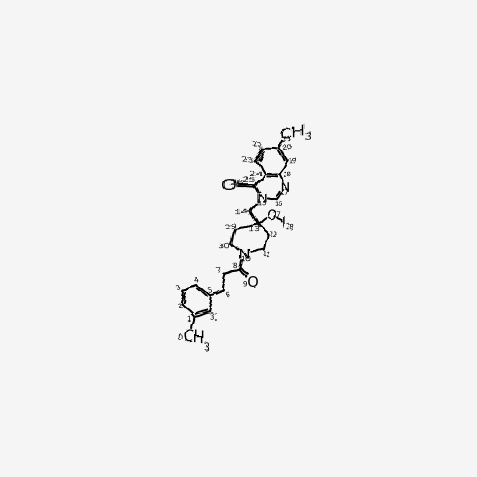 Cc1cccc(CCC(=O)N2CCC(Cn3cnc4cc(C)ccc4c3=O)(OI)CC2)c1